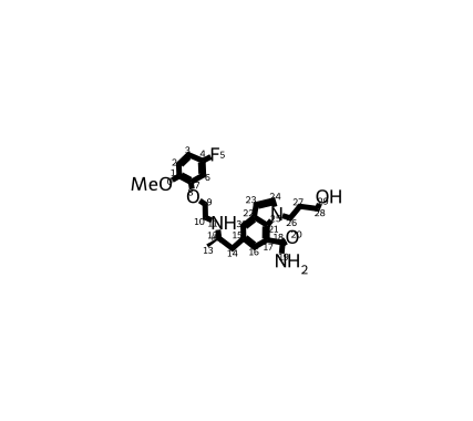 COc1ccc(F)cc1OCCN[C@H](C)Cc1cc(C(N)=O)c2c(ccn2CCCO)c1